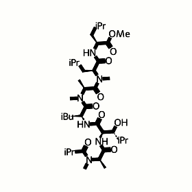 CC[C@H](C)[C@@H](NC(=O)[C@H](NC(=O)[C@@H](C)N(C)C(=O)C(C)C)[C@H](O)C(C)C)C(=O)N(C)[C@@H](C)C(=O)N(C)[C@@H](CC(C)C)C(=O)N[C@@H](CC(C)C)C(=O)OC